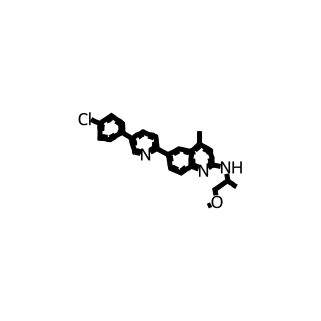 COCC(C)Nc1cc(C)c2cc(-c3ccc(-c4ccc(Cl)cc4)cn3)ccc2n1